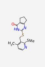 CSc1nccc(C)c1CSc1nc2c(c(=O)[nH]1)CCC2